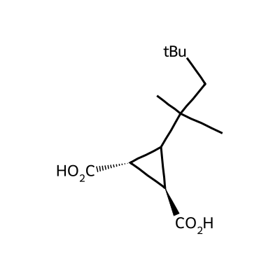 CC(C)(C)CC(C)(C)C1[C@@H](C(=O)O)[C@@H]1C(=O)O